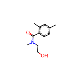 Cc1ccc(C(=O)N(C)CCO)c(C)c1